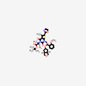 COc1ccccc1[C@H](Cn1c(=O)n(C(C)(C)C(=O)OC(C)(C)C)c(=O)c2c(C)c(-c3ncco3)sc21)OC1C[C@H]2COC[C@H]2C1